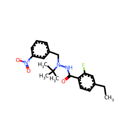 CCc1ccc(C(=O)NN(Cc2cccc([N+](=O)[O-])c2)C(C)(C)C)c(F)c1